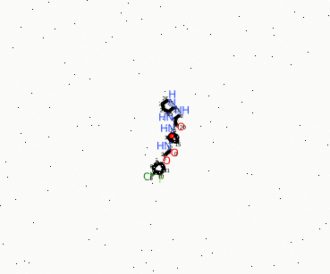 O=C(COc1ccc(Cl)c(F)c1)NC12CC(C1)C(NC(=O)C1CNC3NCCCC3N1)C2